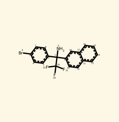 NC(c1ccc(Br)cc1)(c1ccc2ccccc2c1)C(F)(F)F